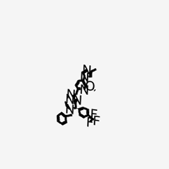 COc1nc(-c2nc3n(n2)CCN(Cc2ccccc2)[C@H]3c2ccc(C(F)(F)F)cc2)ccc1-n1cnc(C)c1